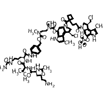 CC(=O)N[C@@H](CCCCN)C(=O)N[C@H](C(=O)N[C@@H](CCCNC(N)=O)C(=O)Nc1ccc(COC(=O)N(C)CCN(C)C(=O)Oc2cc3c(c4c(C)c[nH]c24)[C@H](CCl)CN3C(=O)C2(CCC(=O)N3C[C@@H](CCl)c4c3cc(OP(=O)(O)O)c3[nH]cc(C)c43)CCC2)cc1)C(C)C